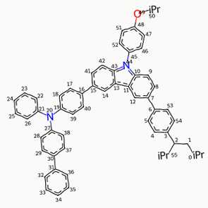 CC(C)CC(c1ccc(-c2ccc3c(c2)c2cc(-c4ccc(N(c5ccccc5)c5ccc(-c6ccccc6)cc5)cc4)ccc2n3-c2ccc(OC(C)C)cc2)cc1)C(C)C